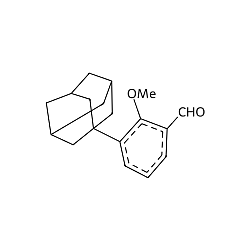 COc1c(C=O)cccc1C12CC3CC(CC(C3)C1)C2